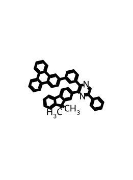 CC1(C)c2ccccc2-c2ccc(-c3nc(-c4ccccc4)cnc3-c3cccc(-c4ccc5c6ccccc6c6ccccc6c5c4)c3)cc21